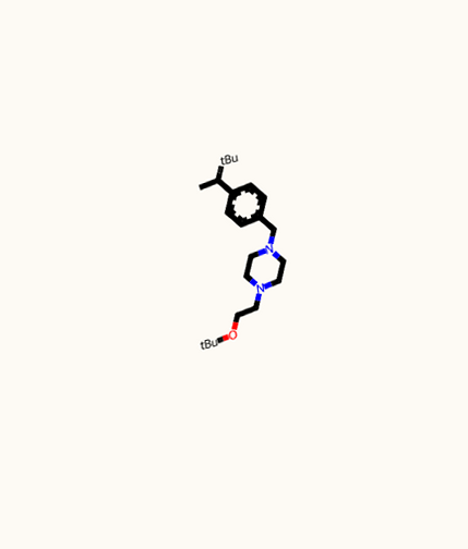 CC(c1ccc(CN2CCN(CCOC(C)(C)C)CC2)cc1)C(C)(C)C